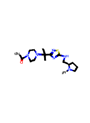 CC(C)N1CCCC1CNc1nc(C(C)(C)N2CCN(C(=O)C(C)(C)C)CC2)ns1